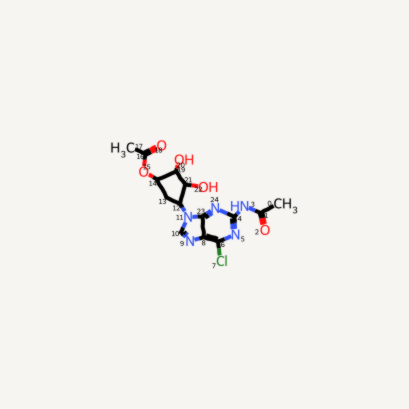 CC(=O)Nc1nc(Cl)c2ncn(C3CC(OC(C)=O)C(O)C3O)c2n1